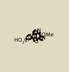 COc1ncccc1-c1cnn2ccc(N3CCN(C(=O)O)CC3C3CCOC3)nc12